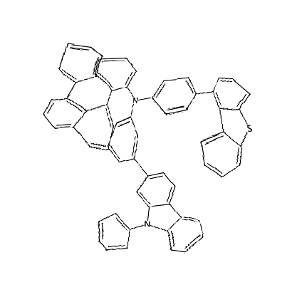 c1ccc(-c2cccc3cccc(-c4ccccc4N(c4ccc(-c5cccc6sc7ccccc7c56)cc4)c4cccc(-c5ccc6c7ccccc7n(-c7ccccc7)c6c5)c4)c23)cc1